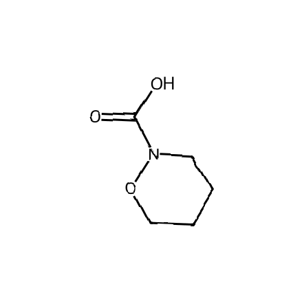 O=C(O)N1CCCCO1